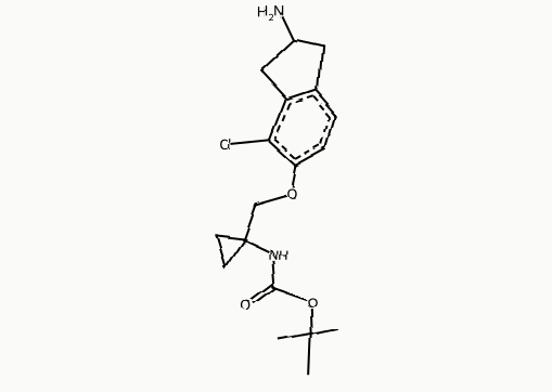 CC(C)(C)OC(=O)NC1(COc2ccc3c(c2Cl)CC(N)C3)CC1